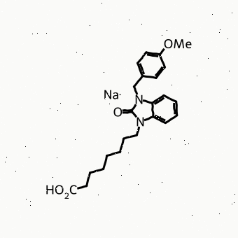 COc1ccc(Cn2c(=O)n(CCCCCCCC(=O)O)c3ccccc32)cc1.[Na]